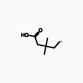 [CH2]CC(C)(C)CC(=O)O